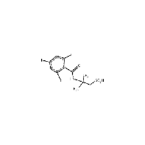 O=C(NC(CS(=O)(=O)O)(C(F)(F)F)C(F)(F)F)c1c(I)cc(I)cc1I